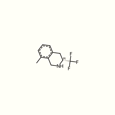 Cc1cccc2c1CN[C@@H](C(F)(F)F)C2